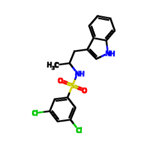 CC(Cc1c[nH]c2ccccc12)NS(=O)(=O)c1cc(Cl)cc(Cl)c1